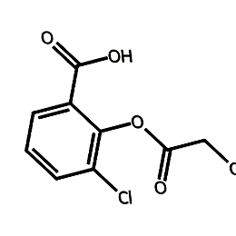 O=C(CCl)Oc1c(Cl)cccc1C(=O)O